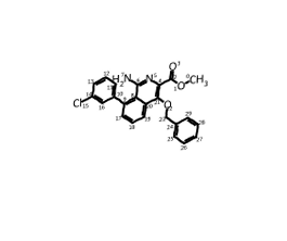 COC(=O)c1nc(N)c2c(-c3cccc(Cl)c3)cccc2c1OCc1ccccc1